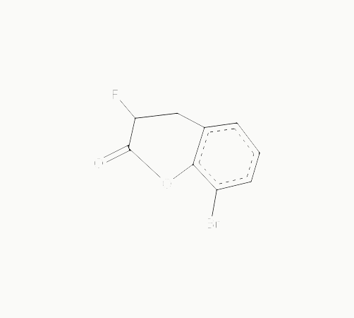 O=C1Oc2c(Br)cccc2CC1F